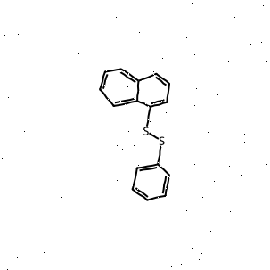 c1ccc(SSc2cccc3ccccc23)cc1